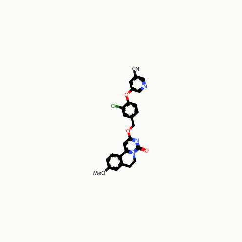 COc1ccc2c(c1)CCn1c-2cc(OCc2ccc(Oc3cncc(C#N)c3)c(Cl)c2)nc1=O